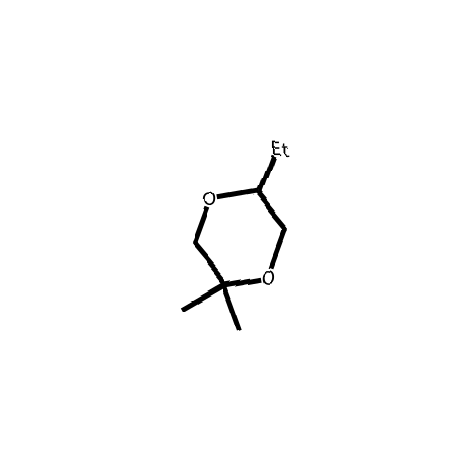 CCC1COC(C)(C)CO1